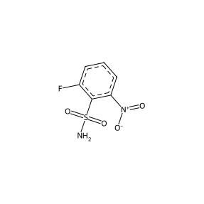 NS(=O)(=O)c1c(F)cccc1[N+](=O)[O-]